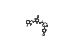 COc1ccc(C2OCC[C@@H]([C@@H](C)Oc3cc(Cl)nc(SCc4cccc(F)c4F)n3)O2)cc1